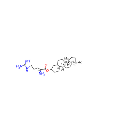 CC(=O)[C@H]1CC[C@H]2[C@@H]3CCC4CC(OC(=O)[C@@H](N)CCCNC(=N)N)CC[C@]4(C)[C@H]3CC[C@]12C